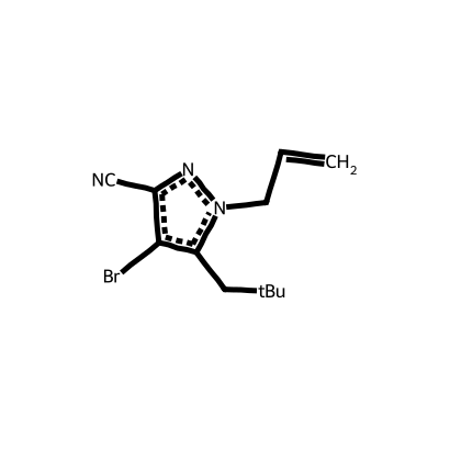 C=CCn1nc(C#N)c(Br)c1CC(C)(C)C